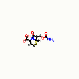 NC(=O)OCC1C(=O)N2C(C(=O)O)=CCS[C@@H]12